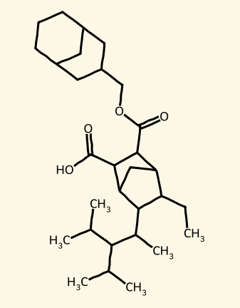 CCC1C2CC(C(C(=O)O)C2C(=O)OCC2CC3CCCC(C3)C2)C1C(C)C(C(C)C)C(C)C